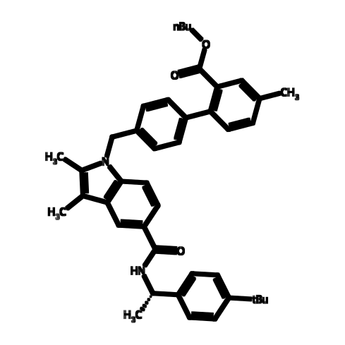 CCCCOC(=O)c1cc(C)ccc1-c1ccc(Cn2c(C)c(C)c3cc(C(=O)N[C@@H](C)c4ccc(C(C)(C)C)cc4)ccc32)cc1